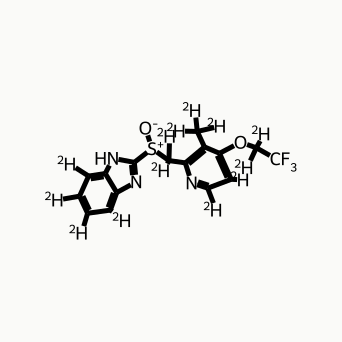 [2H]c1nc(C([2H])([2H])[S+]([O-])c2nc3c([2H])c([2H])c([2H])c([2H])c3[nH]2)c(C([2H])([2H])[2H])c(OC([2H])([2H])C(F)(F)F)c1[2H]